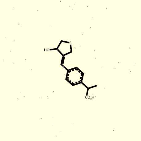 CC(C(=O)O)c1ccc(/C=C2\CSCC2O)cc1